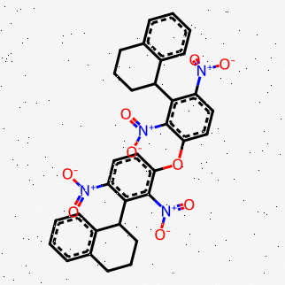 O=[N+]([O-])c1ccc(Oc2ccc([N+](=O)[O-])c(C3CCCc4ccccc43)c2[N+](=O)[O-])c([N+](=O)[O-])c1C1CCCc2ccccc21